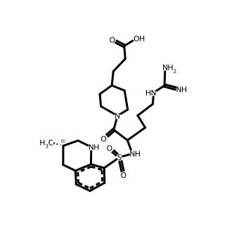 C[C@@H]1CNc2c(cccc2S(=O)(=O)NC(CCCNC(=N)N)C(=O)N2CCC(CCC(=O)O)CC2)C1